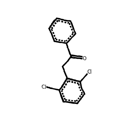 O=C(Cc1c(Cl)cccc1Cl)c1ccccc1